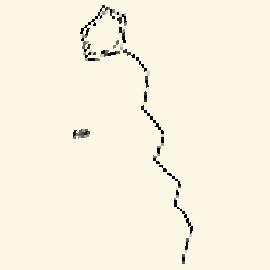 Br.CCCCCCCCn1cccc1